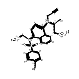 C#CCN(c1ccc(N(CC(=O)O)S(=O)(=O)c2ccc(F)cc2)c2ccccc12)[C@@H](C)CC(=O)O